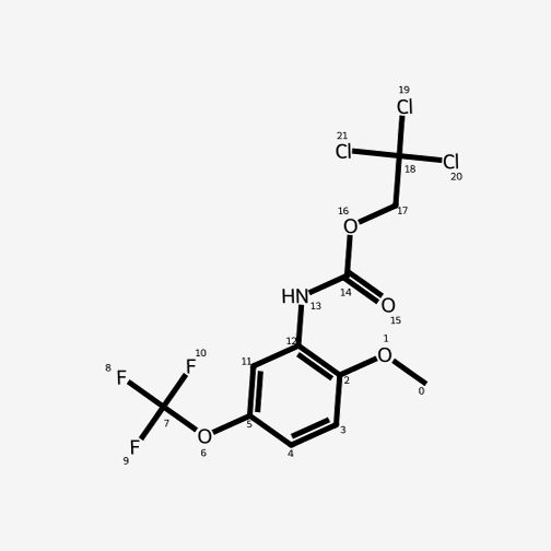 COc1ccc(OC(F)(F)F)cc1NC(=O)OCC(Cl)(Cl)Cl